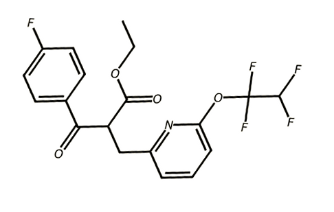 CCOC(=O)C(Cc1cccc(OC(F)(F)C(F)F)n1)C(=O)c1ccc(F)cc1